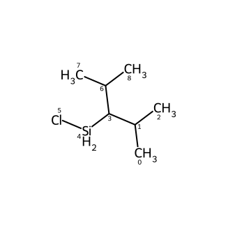 CC(C)C([SiH2]Cl)C(C)C